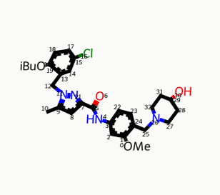 COc1cc(NC(=O)c2cc(C)n(Cc3cc(Cl)ccc3OCC(C)C)n2)ccc1CN1CCC(O)CC1